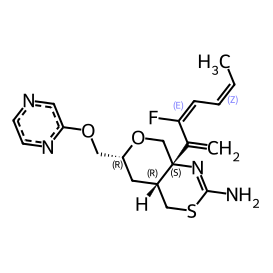 C=C(/C(F)=C\C=C/C)[C@]12CO[C@@H](COc3cnccn3)C[C@H]1CSC(N)=N2